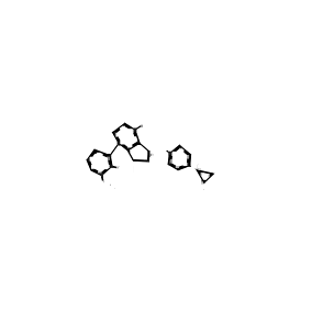 CCOC(=O)[C@H]1C[C@@H]1c1ccc(O[C@@H]2CCc3c(-c4cccc(C#N)c4C)ccc(F)c32)cc1